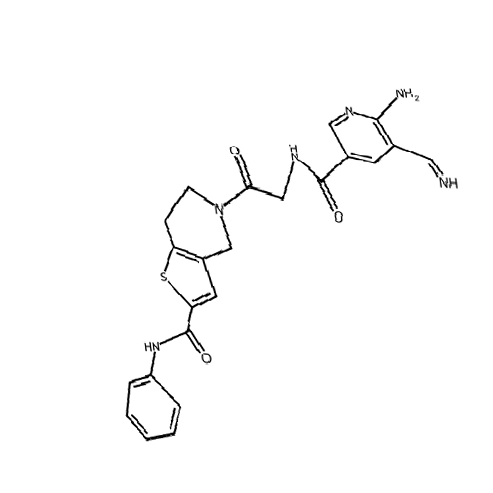 N=Cc1cc(C(=O)NCC(=O)N2CCc3sc(C(=O)Nc4ccccc4)cc3C2)cnc1N